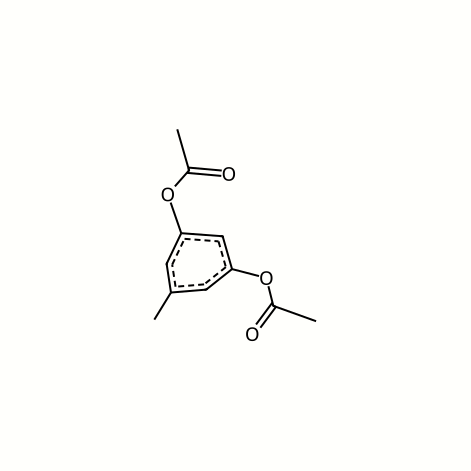 CC(=O)Oc1cc(C)cc(OC(C)=O)c1